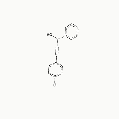 OC(C#Cc1ccc(Cl)cc1)c1ccccc1